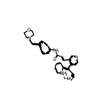 N=C/C(=C1/C=CC=CN1)c1ccncc1/C=C/C(=O)Nc1ccc(CN2CCOCC2)cc1